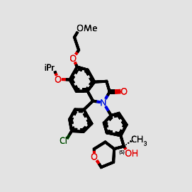 COCCOc1cc2c(cc1OC(C)C)C(c1ccc(Cl)cc1)N(c1ccc([C@@](C)(O)C3CCOCC3)cc1)C(=O)C2